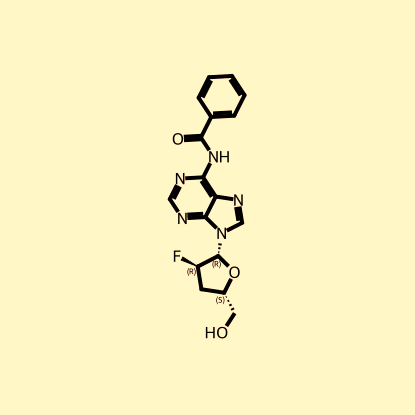 O=C(Nc1ncnc2c1ncn2[C@@H]1O[C@H](CO)C[C@H]1F)c1ccccc1